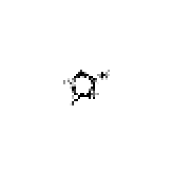 [N].c1cnon1